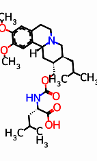 COc1cc2c(cc1OC)[C@H]1C[C@@H](COC(=O)N[C@@H](CC(C)C)C(=O)O)[C@H](CC(C)C)CN1CC2